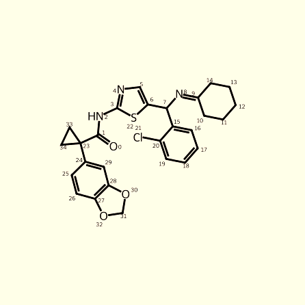 O=C(Nc1ncc(C(N=C2CCCCC2)c2ccccc2Cl)s1)C1(c2ccc3c(c2)OCO3)CC1